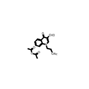 CC(=O)OC(C)=O.CC(=O)OCCn1cc(C=O)c(=O)c2ccccc21